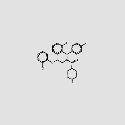 O=C(C1CCNCC1)N(CCOc1ccccc1Cl)[C@@H](c1ccc(F)cc1)c1ccccc1F